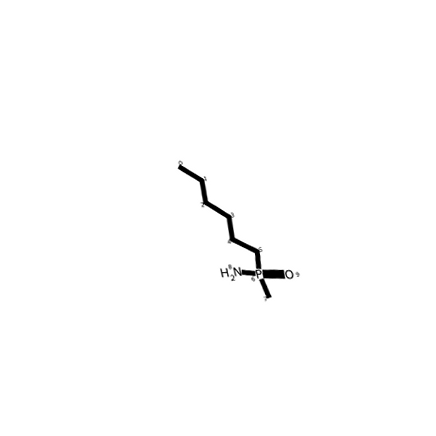 CCCCCCP(C)(N)=O